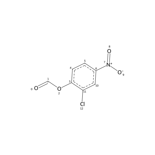 O=[C]Oc1ccc([N+](=O)[O-])cc1Cl